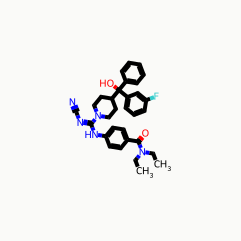 CCN(CC)C(=O)c1ccc(N/C(=N/C#N)N2CCC(C(O)(c3ccccc3)c3cccc(F)c3)CC2)cc1